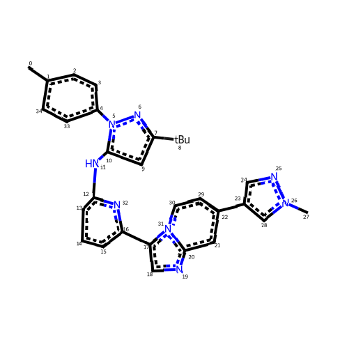 Cc1ccc(-n2nc(C(C)(C)C)cc2Nc2cccc(-c3cnc4cc(-c5cnn(C)c5)ccn34)n2)cc1